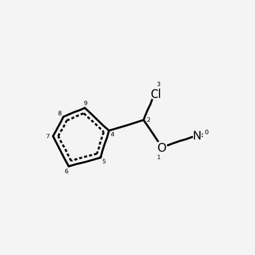 [N]OC(Cl)c1ccccc1